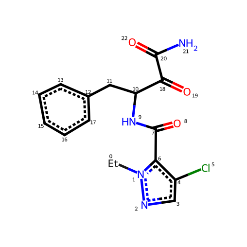 CCn1ncc(Cl)c1C(=O)NC(Cc1ccccc1)C(=O)C(N)=O